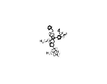 CCOC(=O)c1c(Cc2cccc(C(=O)OC(C)(C)C)c2)c(-c2ccc(OC(F)F)c(OC3CC3)c2)n(COCc2ccccc2)c1C=O